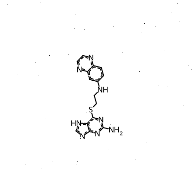 Nc1nc(SCCNc2ccc3nccnc3c2)c2[nH]cnc2n1